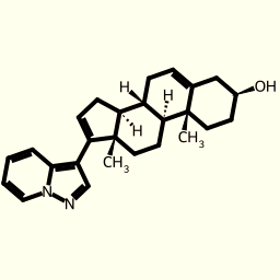 C[C@]12CC[C@H](O)CC1=CC[C@@H]1[C@@H]2CC[C@]2(C)C(c3cnn4ccccc34)=CC[C@@H]12